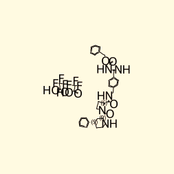 N=C(NC(=O)OCc1ccccc1)c1ccc(CNC(=O)[C@@H]2CCN2C(=O)[C@H]2C[C@@H](c3ccccc3)CCN2)cc1.O=C(O)C(F)(F)F.O=C(O)C(F)(F)F